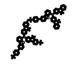 CC(C)(C)c1ccc(-c2ccc3oc4c(N(c5ccc6c(c5)C(C)(C)c5cc(CC(C)(C)c7ccc(-c8ccc9oc%10c(N(c%11ccc%12c(c%11)C(C)(C)c%11ccccc%11-%12)c%11ccc%12c(c%11)C(C)(C)c%11ccccc%11-%12)cccc%10c9c8)cc7)ccc5-6)c5ccc6c(c5)C(C)(C)c5cc(C(C)(C)C)ccc5-6)cccc4c3c2)cc1